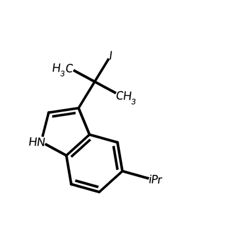 CC(C)c1ccc2[nH]cc(C(C)(C)I)c2c1